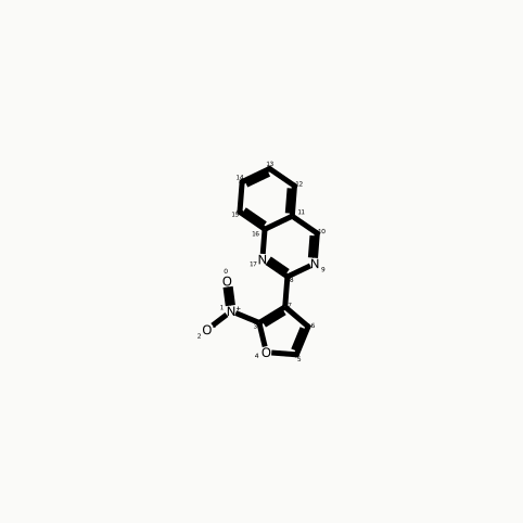 O=[N+]([O-])c1occc1-c1ncc2ccccc2n1